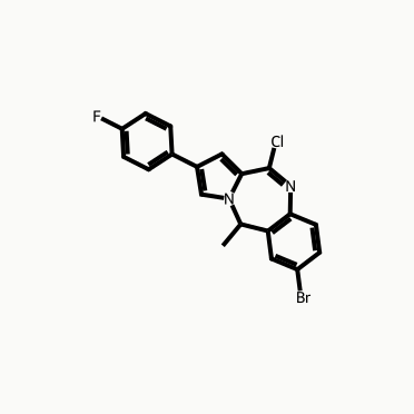 CC1c2cc(Br)ccc2N=C(Cl)c2cc(-c3ccc(F)cc3)cn21